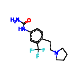 NC(=O)Nc1ccc(CCN2CCCC2)c(C(F)(F)F)c1